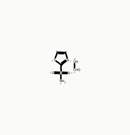 NS(=O)(=O)c1nccs1.O=CO